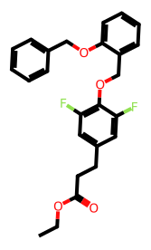 CCOC(=O)CCc1cc(F)c(OCc2ccccc2OCc2ccccc2)c(F)c1